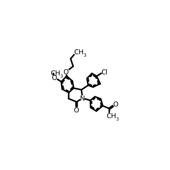 CCCOc1cc2c(cc1OC)CC(=O)N(c1ccc(C(C)=O)cc1)C2c1ccc(Cl)cc1